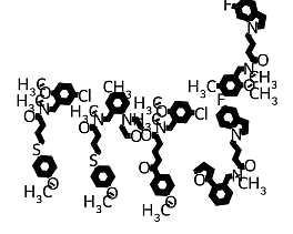 CN(Cc1ccccc1-c1ccco1)C(=O)CCCn1ccc2cc(F)ccc21.COc1ccc(C(=O)CCCC(=O)N(C)Cc2cc(Cl)ccc2OC)cc1.COc1ccc(C)cc1CN(C)C(=O)CCCn1ccc2ccc(F)cc21.COc1ccc(SCCCC(=O)N(C)Cc2cc(C)ccc2N2CCOCC2)cc1.COc1ccc(SCCCC(=O)N(C)Cc2cc(Cl)ccc2OC)cc1